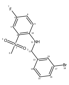 CS(=O)(=O)c1cc(F)ccc1NCc1[c]ccc(Br)c1